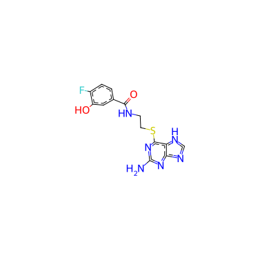 Nc1nc(SCCNC(=O)c2ccc(F)c(O)c2)c2[nH]cnc2n1